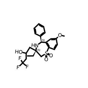 CC[C@]1(CC(O)CC(F)(F)F)CS(=O)(=O)c2ccc(OC)cc2[C@H](c2ccccc2)N1